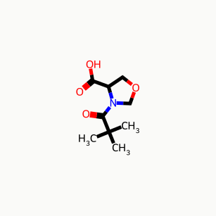 CC(C)(C)C(=O)N1COCC1C(=O)O